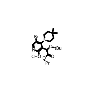 CC(C)OC(=O)C(OC(C)(C)C)c1c(C=O)ncc(Br)c1N1CCC(C)(C)CC1